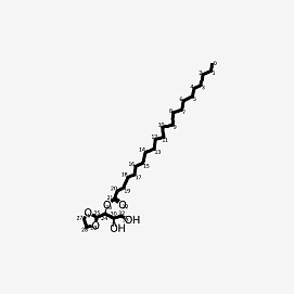 CCCCCCCCCCCCCCCCCCCCCC(=O)O[C@@H](C1OCCO1)[C@H](O)CO